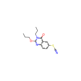 CCCOc1nc2ccc(SC#N)cc2c(=O)n1CCC